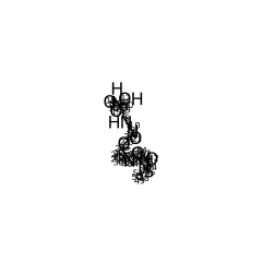 CCN(CCNCCc1ccc(O)c2c1OCC(=O)N2)C(=O)CCOCCc1cccc(CN2CCC3(CC2)CN(C(=O)c2csc(C4CCCC4)n2)CCO3)c1F